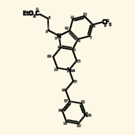 CCOC(=O)CCn1c2c(c3cc(C(F)(F)F)ccc31)CN(CCc1cccnc1)CC2